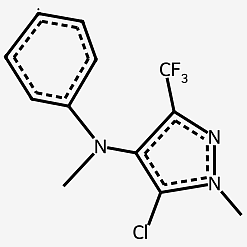 CN(c1cc[c]cc1)c1c(C(F)(F)F)nn(C)c1Cl